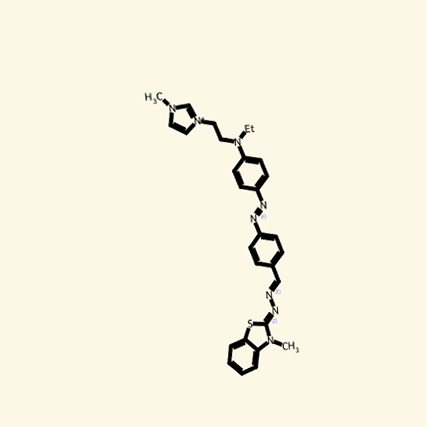 CCN(CC[n+]1ccn(C)c1)c1ccc(/N=N/c2ccc(/C=N/N=c3\sc4ccccc4n3C)cc2)cc1